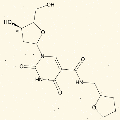 O=C(NCC1CCCO1)c1cn(C2C[C@@H](O)C(CO)O2)c(=O)[nH]c1=O